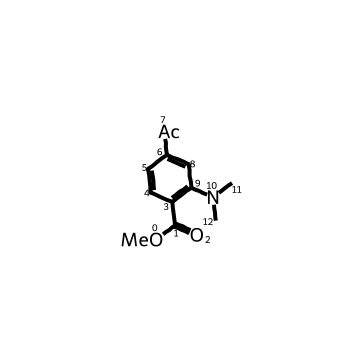 COC(=O)c1ccc(C(C)=O)cc1N(C)C